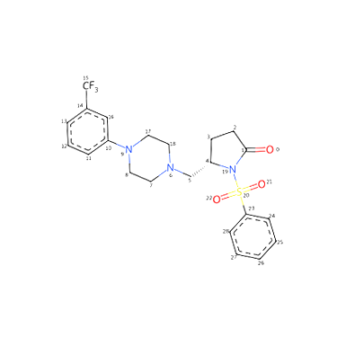 O=C1CC[C@@H](CN2CCN(c3cccc(C(F)(F)F)c3)CC2)N1S(=O)(=O)c1ccccc1